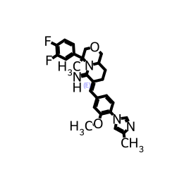 COc1cc(/C=C2\CCC3COCC(C)(c4ccc(F)c(F)c4)N3C2=N)ccc1-n1cnc(C)c1